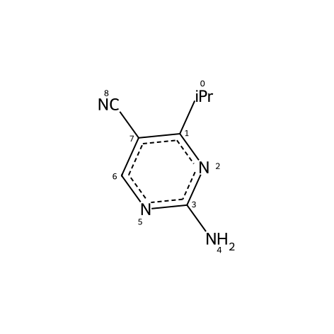 CC(C)c1nc(N)ncc1C#N